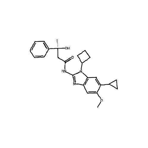 COc1cc2nc(NC(=O)C[C@](C)(O)c3ccccc3)n(C3CCC3)c2cc1C1CC1